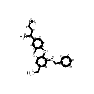 CCc1ccc(Oc2ccc(C(N)CCN)cc2F)c(OCc2ccccc2)c1